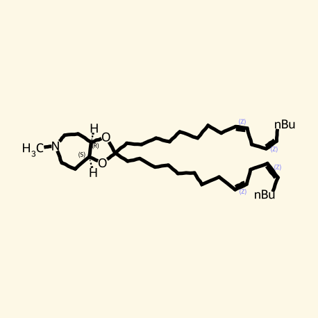 CCCC/C=C\C/C=C\CCCCCCCCC1(CCCCCCCC/C=C\C/C=C\CCCC)O[C@H]2CCN(C)CC[C@H]2O1